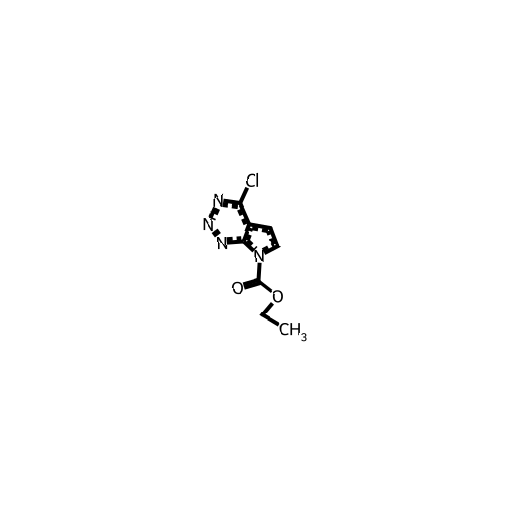 CCOC(=O)n1ccc2c(Cl)nnnc21